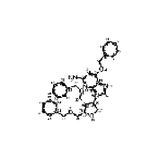 Nc1nc(OCc2ccccc2)c2ncn([C@H]3CO[C@@H](COCc4ccccc4)[C@@H]3COCc3ccccc3)c2n1